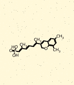 CC(/C=C/C=C(\C)C1=Cc2cc(C)cc(C)c2OC1)=C\P(=O)(O)O